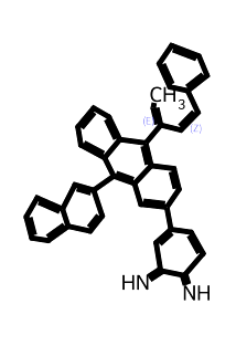 C/C=C(\C=C/c1ccccc1)c1c2ccccc2c(-c2ccc3ccccc3c2)c2cc(C3=CC(=N)C(=N)C=C3)ccc12